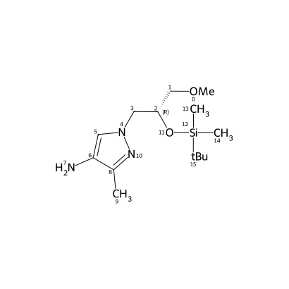 COC[C@@H](Cn1cc(N)c(C)n1)O[Si](C)(C)C(C)(C)C